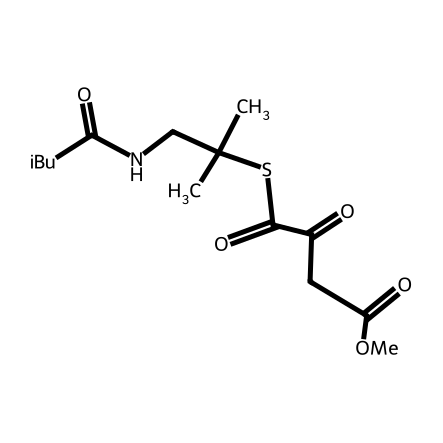 CCC(C)C(=O)NCC(C)(C)SC(=O)C(=O)CC(=O)OC